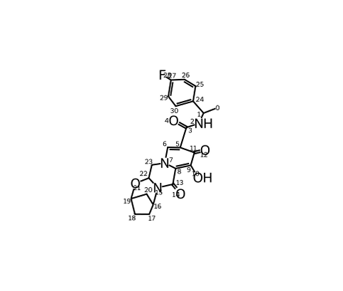 CC(NC(=O)c1cn2c(c(O)c1=O)C(=O)N1C3CCC(C3)OC1C2)c1ccc(F)cc1